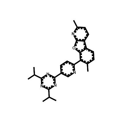 Cc1ccc2c(n1)oc1c(-c3ccc(-c4nc(C(C)C)nc(C(C)C)n4)cn3)c(C)ccc12